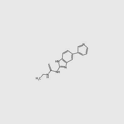 CCNC(=S)Nc1nc2cc(-c3cccnc3)ccc2[nH]1